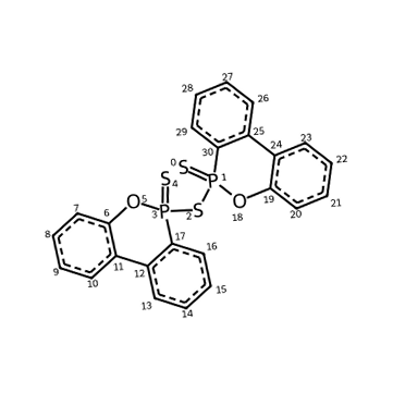 S=P1(SP2(=S)Oc3ccccc3-c3ccccc32)Oc2ccccc2-c2ccccc21